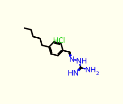 CCCCCc1ccc(C=NNC(=N)N)cc1.Cl